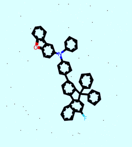 Fc1cc2c(c3ccccc13)-c1ccc(-c3ccc(N(c4ccccc4)c4ccc5oc6ccccc6c5c4)cc3)cc1C2(c1ccccc1)c1ccccc1